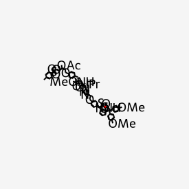 COC(=O)[C@H](Cc1ccc(OCC(COS(=O)(=O)c2ccc(C)cc2)OC(C)=O)cc1)NC(=O)[C@H](C(C)C)n1cc(COc2ccc3nc(S(=O)(=O)NC(c4ccccc4)(c4ccc(OC)cc4)c4ccc(OC)cc4)sc3c2)nn1